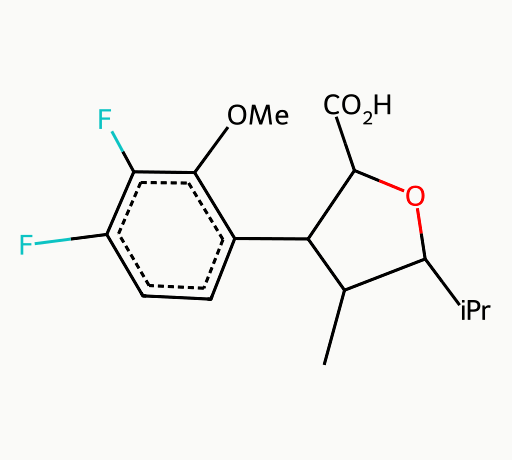 COc1c(C2C(C(=O)O)OC(C(C)C)C2C)ccc(F)c1F